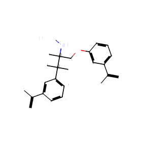 C=C(C)c1cccc(OCC(C)(NC(=O)O)C(C)(C)c2cccc(C(=C)C)c2)c1